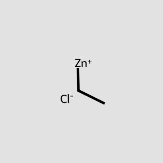 C[CH2][Zn+].[Cl-]